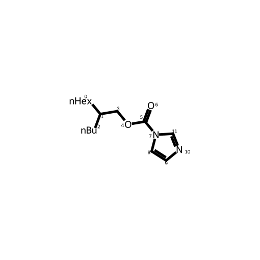 CCCCCCC(CCCC)COC(=O)n1ccnc1